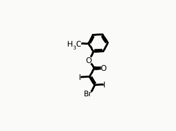 Cc1ccccc1OC(=O)C(I)=C(Br)I